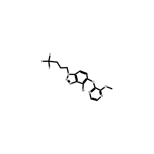 COc1nccnc1Oc1ccc2c(nnn2CCCC(F)(F)F)c1Br